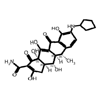 C[C@H]1c2ccc(NC3CCCC3)c(O)c2C(=O)C2=C(O)[C@]3(O)C(=O)C(C(N)=O)=C(O)C[C@@H]3[C@@H](O)[C@@H]21